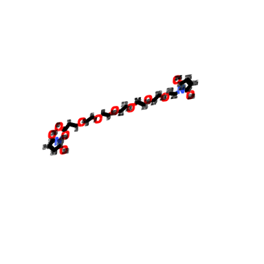 O=C(CCOCCOCCOCCOCCOCCOCCN1C(=O)C=CC1=O)ON1C(=O)CCC1=O